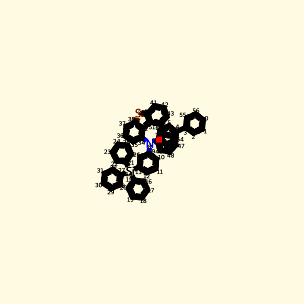 c1ccc(-c2ccc(N(c3cccc([Si](c4ccccc4)(c4ccccc4)c4ccccc4)c3)c3cccc4sc5cccc(-c6ccccc6)c5c34)cc2)cc1